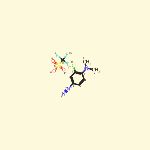 CN(C)c1ccc([N+]#N)cc1Cl.O=S(=O)([O-])C(F)(F)F